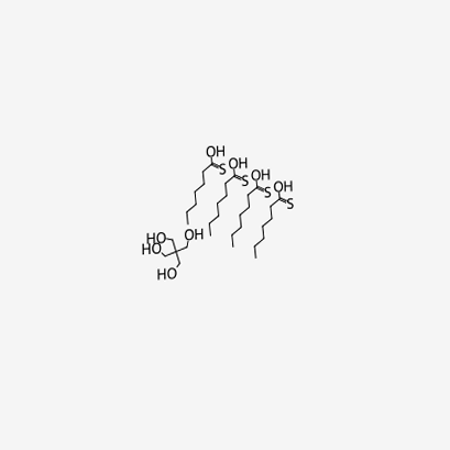 CCCCCCC(O)=S.CCCCCCC(O)=S.CCCCCCC(O)=S.CCCCCCC(O)=S.OCC(CO)(CO)CO